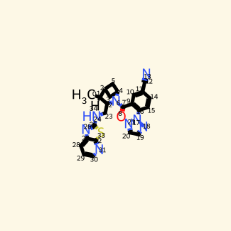 C[C@@H]1C2CC(C2)N(C(=O)c2cc(C#N)ccc2-n2nccn2)C1CNc1nc2cccnc2s1